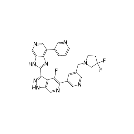 Fc1c(-c2cncc(CN3CCC(F)(F)C3)c2)ncc2[nH]nc(-c3nc4c(-c5cccnc5)cncc4[nH]3)c12